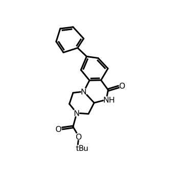 CC(C)(C)OC(=O)N1CCN2c3cc(-c4ccccc4)ccc3C(=O)NC2C1